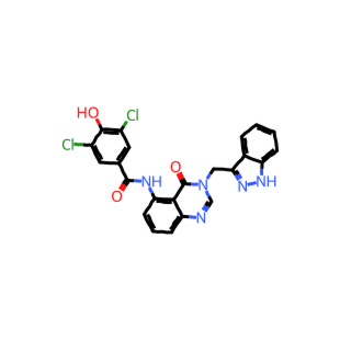 O=C(Nc1cccc2ncn(Cc3n[nH]c4ccccc34)c(=O)c12)c1cc(Cl)c(O)c(Cl)c1